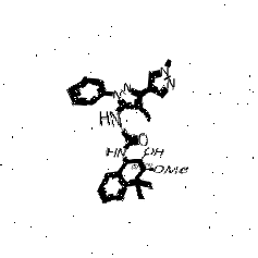 CO[C@@H]1[C@@H](O)C(NC(=O)Nc2c(C)c(-c3cnn(C)c3)nn2-c2ccccc2)c2ccccc2C1(C)C